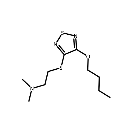 CCCCOc1nsnc1SCCN(C)C